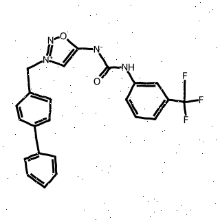 O=C([N-]c1c[n+](Cc2ccc(-c3ccccc3)cc2)no1)Nc1cccc(C(F)(F)F)c1